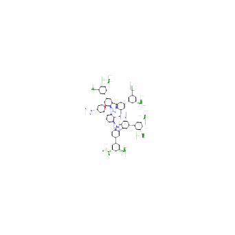 N#Cc1cccc(-c2ccc(-n3c4ccc(-c5cc(C(F)(F)F)cc(C(F)(F)F)c5)cc4c4cc(-c5cc(C(F)(F)F)cc(C(F)(F)F)c5)ccc43)c(C#N)c2-n2c3ccc(-c4cc(C(F)(F)F)cc(C(F)(F)F)c4)cc3c3cc(-c4cc(C(F)(F)F)cc(C(F)(F)F)c4)ccc32)c1